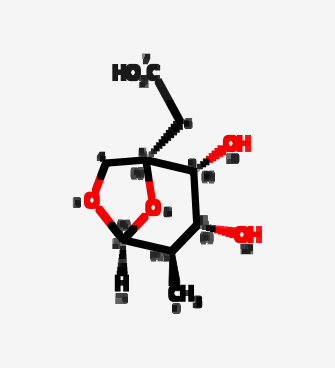 C[C@H]1[C@H]2OC[C@](CC(=O)O)(O2)[C@H](O)[C@@H]1O